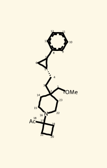 COCC1(CC[C@@H]2CC2c2ccccc2)CCN(C2(C(C)=O)CCC2)CC1